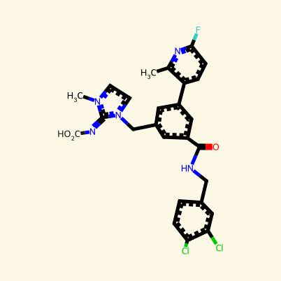 Cc1nc(F)ccc1-c1cc(Cn2ccn(C)c2=NC(=O)O)cc(C(=O)NCc2ccc(Cl)c(Cl)c2)c1